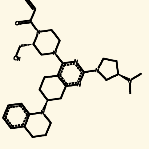 C=CC(=O)N1CCN(c2nc(N3CC[C@@H](N(C)C)C3)nc3c2CC[C@H](N2CCCc4ccccc42)C3)C[C@@H]1CC#N